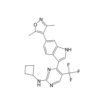 Cc1noc(C)c1-c1ccc2c(-c3nc(NC4CCC4)ncc3C(F)(F)F)c[nH]c2c1